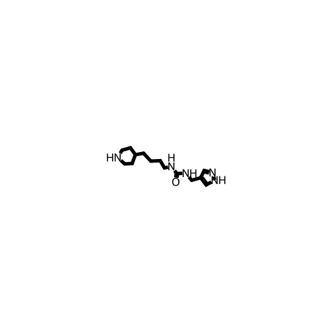 O=C(NCCCCC1CCNCC1)NCc1cn[nH]c1